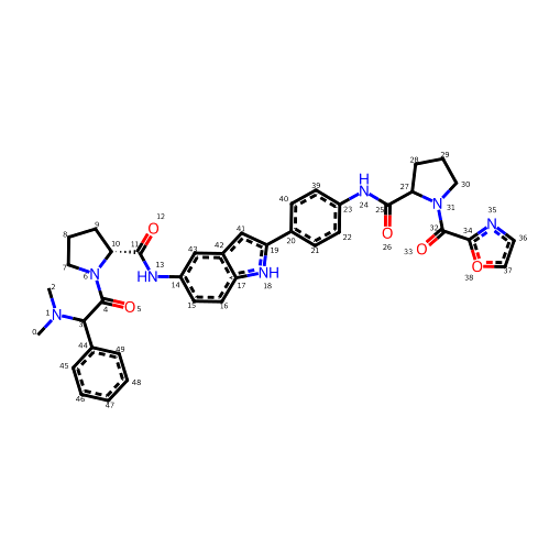 CN(C)C(C(=O)N1CCC[C@@H]1C(=O)Nc1ccc2[nH]c(-c3ccc(NC(=O)C4CCCN4C(=O)c4ncco4)cc3)cc2c1)c1ccccc1